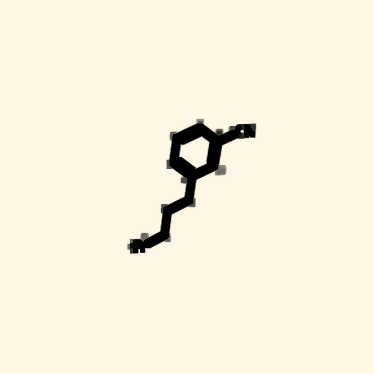 C[C](C)CCCc1cccc(C#N)c1